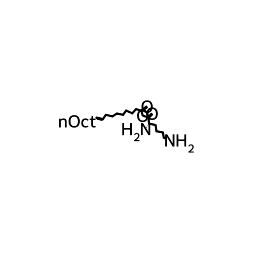 CCCCCCCCC=CCCCCCCCC(=O)OC(=O)[C@@H](N)CCCCN